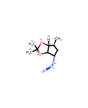 C[C@H]1C[C@@H](N=[N+]=[N-])C2OC(C)(C)O[C@@H]21